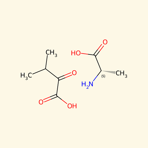 CC(C)C(=O)C(=O)O.C[C@H](N)C(=O)O